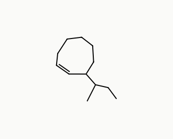 CCC(C)C1C=CCCCCC1